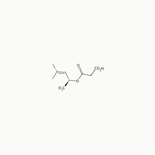 CC(C)=C[C@@H](OC(=O)CC(=O)O)C(Cl)(Cl)Cl